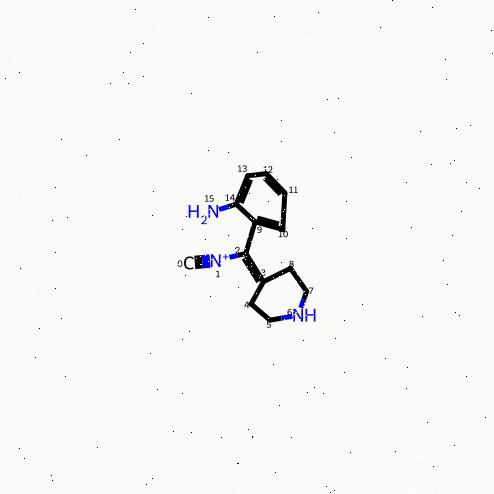 [C-]#[N+]C(=C1CCNCC1)c1ccccc1N